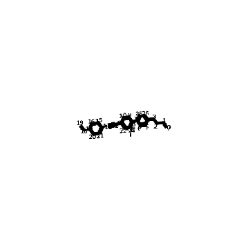 CCCCc1ccc(-c2ccc(C#C[C@H]3CC[C@H](CC)CC3)cc2F)cc1